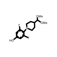 COC(OC)C1CCN(c2c(F)cc(O)cc2F)CC1